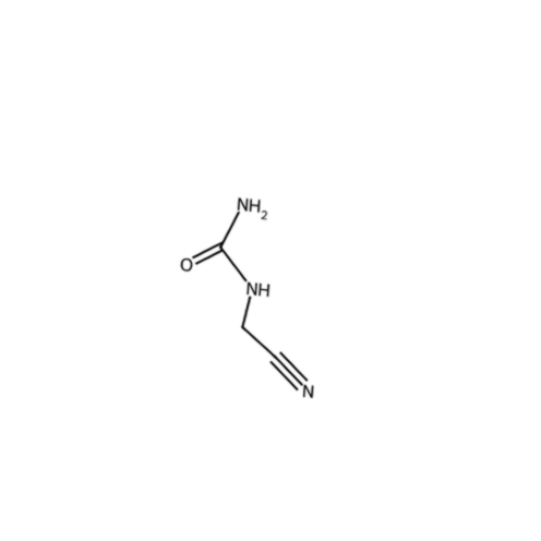 N#CCNC(N)=O